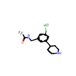 Cl.O=C(NCc1cc(F)cc(C2CCNCC2)c1)C(F)(F)F